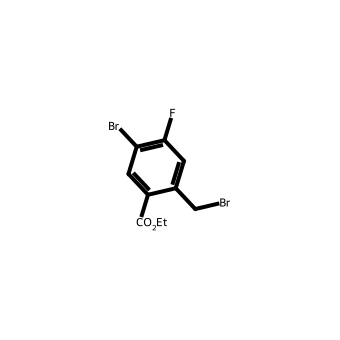 CCOC(=O)c1cc(Br)c(F)cc1CBr